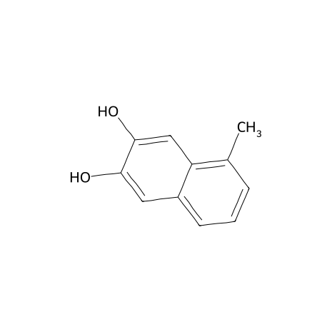 Cc1cccc2cc(O)c(O)cc12